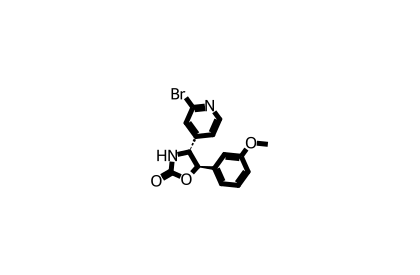 COc1cccc([C@H]2OC(=O)N[C@@H]2c2ccnc(Br)c2)c1